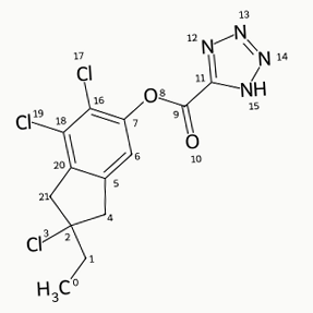 CCC1(Cl)Cc2cc(OC(=O)c3nnn[nH]3)c(Cl)c(Cl)c2C1